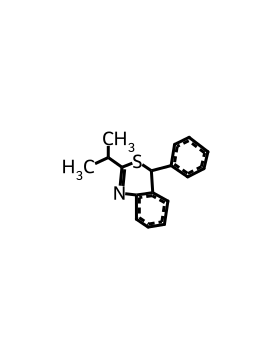 CC(C)C1=Nc2ccccc2C(c2ccccc2)S1